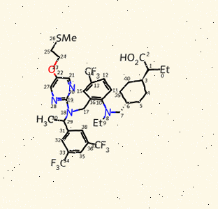 CCC(C(=O)O)[C@H]1CC[C@H](CN(CC)c2ccc(C(F)(F)F)cc2CN(c2ncc(OCCSC)cn2)C(C)c2cc(C(F)(F)F)cc(C(F)(F)F)c2)CC1